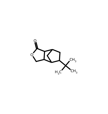 CC(C)(C)C1CC2CC1C1COC(=O)C21